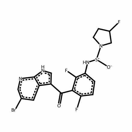 O=C(c1c(F)ccc(N[S+]([O-])N2CCC(F)C2)c1F)c1c[nH]c2ncc(Br)cc12